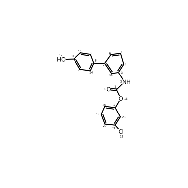 O=C(Nc1cc[c]c(-c2ccc(O)cc2)c1)Oc1cccc(Cl)c1